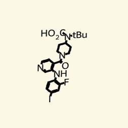 CC(C)(C)N(C(=O)O)C1CCN(C(=O)c2ccncc2Nc2ccc(I)cc2F)CC1